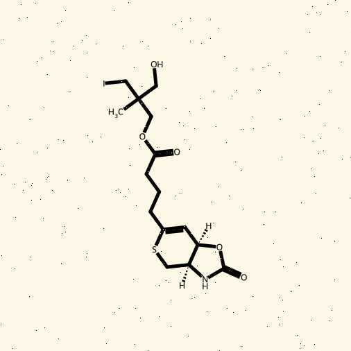 CC(CO)(CI)COC(=O)CCCC1=C[C@H]2OC(=O)N[C@H]2CS1